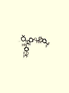 C[C@H]1C[C@H](n2c(Nc3ccc(OC(F)(F)F)cc3)nc3cc(OCC(=O)Nc4cc(C(F)F)ccc4Cl)ccc32)CC(C)(C)C1